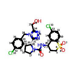 O=C(N[C@@H]1CCS(=O)(=O)c2ccc(Cl)cc21)N1CCC[C@@H]1c1nnc(CO)n1Cc1ccc(Cl)cc1